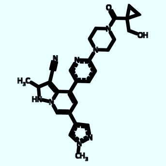 CC1NN2C=C(c3cnn(C)c3)C=C(c3ccc(N4CCN(C(=O)C5(CO)CC5)CC4)nc3)C2=C1C#N